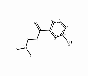 C=C(CCN(C)C)c1cccc(O)c1